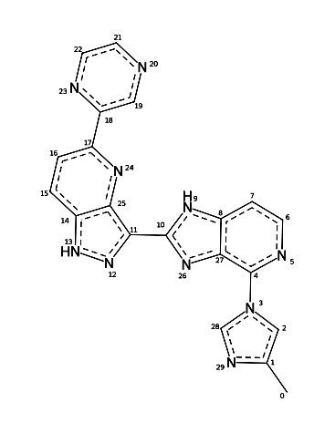 Cc1cn(-c2nccc3[nH]c(-c4n[nH]c5ccc(-c6cnccn6)nc45)nc23)cn1